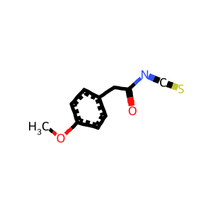 COc1ccc(CC(=O)N=C=S)cc1